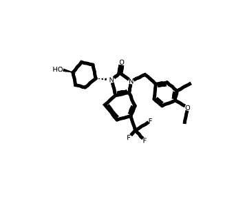 COc1ccc(Cn2c(=O)n([C@H]3CC[C@H](O)CC3)c3ccc(C(F)(F)F)cc32)cc1C